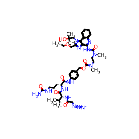 CCOCc1nc2c(NC(=O)N(C)CCN(C)C(=O)OCc3ccc(NC(=O)[C@@H](CCCNC(N)=O)NC(=O)[C@H](NC(=O)CN=[N+]=[N-])C(C)C)cc3)nc3ccccc3c2n1CC(C)(C)O